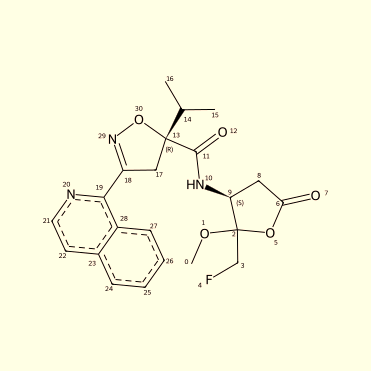 COC1(CF)OC(=O)C[C@@H]1NC(=O)[C@]1(C(C)C)CC(c2nccc3ccccc23)=NO1